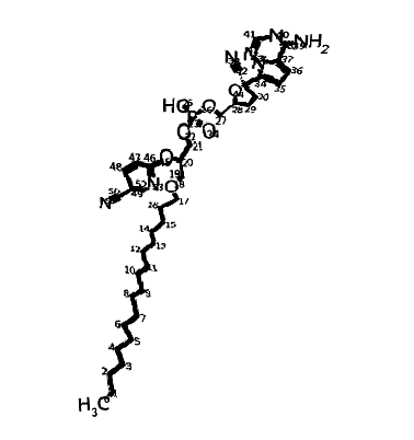 CCCCCCCCCCCCCCCCCCOC[C@H](COP(=O)(O)OC[C@@H]1CC[C@](C#N)(c2ccc3c(N)ncnn23)O1)Oc1ccc(C#N)cn1